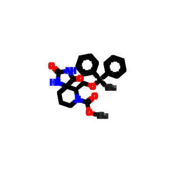 CC(C)(C)OC(=O)N1CCCC2(NC(=O)NC2=O)[C@H]1CO[Si](c1ccccc1)(c1ccccc1)C(C)(C)C